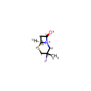 CC1(I)CS[C@H]2CC(=O)N2C1